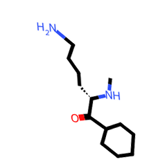 CN[C@@H](CCCCN)C(=O)C1CCCCC1